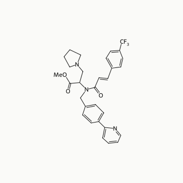 COC(=O)C(CN1CCCC1)N(Cc1ccc(-c2ccccn2)cc1)C(=O)/C=C/c1ccc(C(F)(F)F)cc1